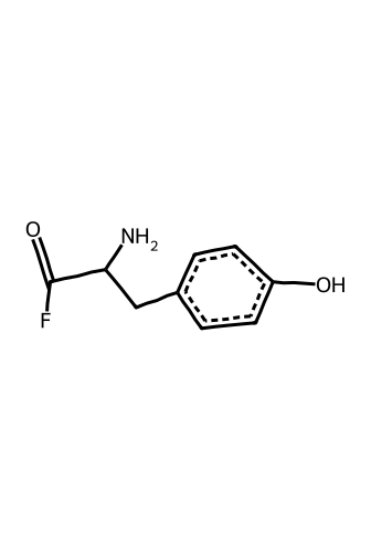 NC(Cc1ccc(O)cc1)C(=O)F